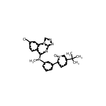 CN(c1cccc(-c2ccc(C(C)(C)C)c[n+]2[O-])c1)c1nc2nncn2c2cc(Cl)ccc12